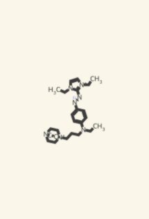 CCN(CCC[N+]12CCN(CC1)CC2)c1ccc(/N=N/c2n(CC)cc[n+]2CC)cc1